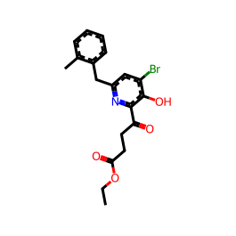 CCOC(=O)CCC(=O)c1nc(Cc2ccccc2C)cc(Br)c1O